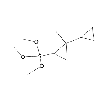 CO[Si](OC)(OC)C1CC1(C)C1CC1